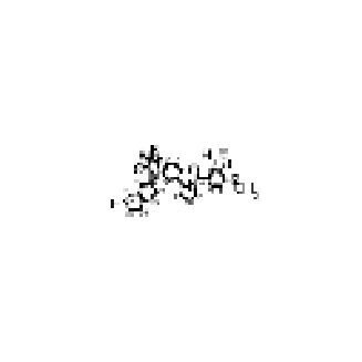 COc1ccc(C(=O)N2CCCC2c2cccc(N(C(=O)C(F)(F)F)c3ccc4c(c3)CNCC4)c2)cc1OC